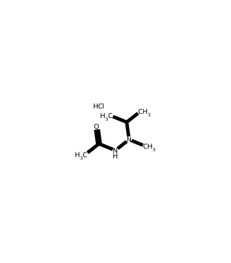 CC(=O)NN(C)C(C)C.Cl